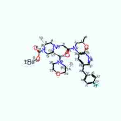 CC1CN(C(=O)CN2C[C@@H](C)N(C(=O)OC(C)(C)C)C[C@@H]2CN2CCOC[C@H]2C)c2cc(Cc3ccc(F)cc3)cnc2O1